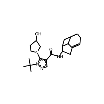 CC(C)(C)n1ncc(C(=O)NC2CC3=CCC4CC3C2C4)c1N1CCC(O)C1